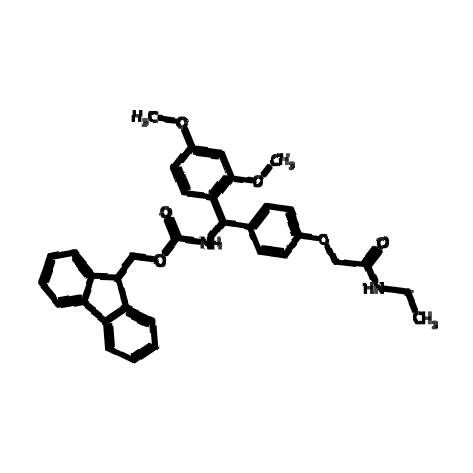 C[CH]NC(=O)COc1ccc(C(NC(=O)OCC2c3ccccc3-c3ccccc32)c2ccc(OC)cc2OC)cc1